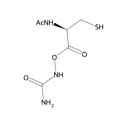 CC(=O)N[C@@H](CS)C(=O)ONC(N)=O